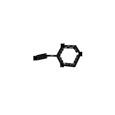 N#Cc1ncncn1